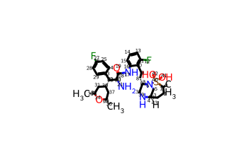 CC1CC[C@@H]2CN([C@@H](CCc3c(F)cccc3NC(=O)[C@@H](N)[C@@H](c3ccc(F)cc3)C3C[C@@H](C)O[C@@H](C)C3)CN2)S1(O)O